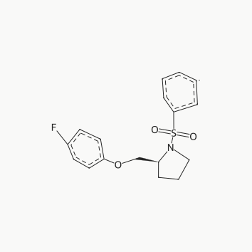 O=S(=O)(c1c[c]ccc1)N1CCC[C@H]1COc1ccc(F)cc1